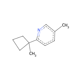 Cc1ccc(C2(C)CCC2)nc1